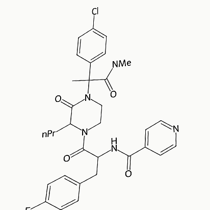 CCCC1C(=O)N(C(C)(C(=O)NC)c2ccc(Cl)cc2)CCN1C(=O)C(Cc1ccc(F)cc1)NC(=O)c1ccncc1